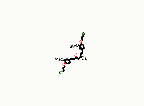 COc1cc(/C=C/C(=O)CC(C)/C=C/c2ccc(OCCCBr)c(OC)c2)ccc1OCCCBr